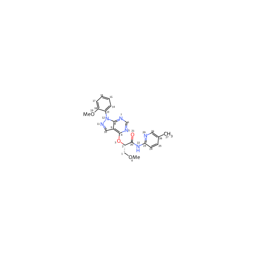 COC[C@H](Oc1ncnc2c1cnn2-c1ccccc1OC)C(=O)Nc1ccc(C)cn1